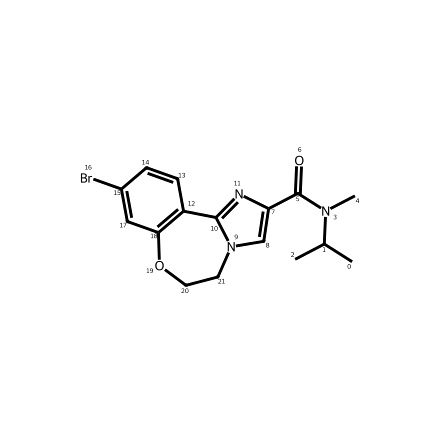 CC(C)N(C)C(=O)c1cn2c(n1)-c1ccc(Br)cc1OCC2